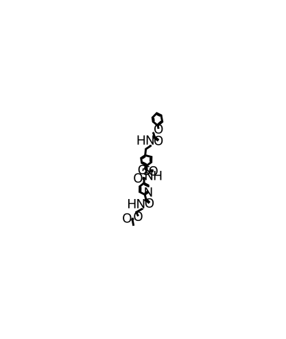 CC(=O)OCCNC(=O)c1ccc(C(=O)NS(=O)(=O)c2ccc(CCNC(=O)COc3ccccc3)cc2)cn1